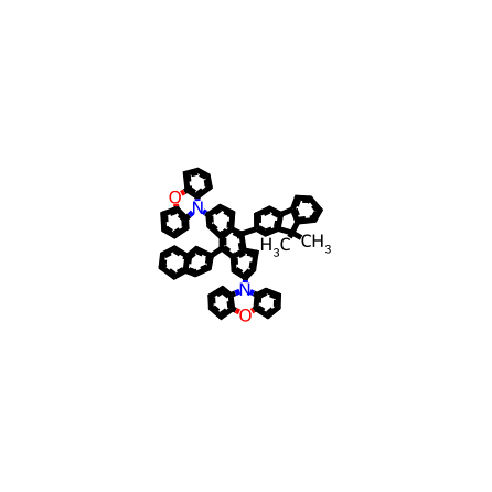 CC1(C)c2ccccc2-c2ccc(-c3c4ccc(N5c6ccccc6Oc6ccccc65)cc4c(-c4ccc5ccccc5c4)c4cc(N5c6ccccc6Oc6ccccc65)ccc34)cc21